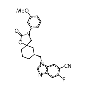 COc1cccc(N2C[C@@]3(CCC[C@H](Cn4cnc5cc(F)c(C#N)cc54)C3)OC2=O)c1